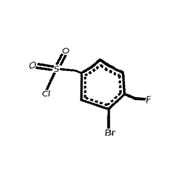 O=S(=O)(Cl)c1ccc(F)c(Br)c1